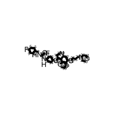 O=C(NCc1ccc(F)cc1)Nc1ccc(Oc2ccnc3cc(OCCCN4CCOCC4)c4c(c23)OCCO4)cc1F